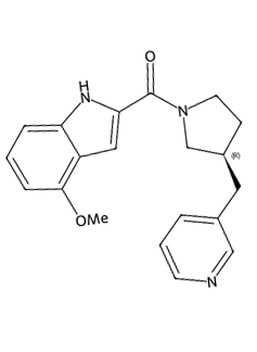 COc1cccc2[nH]c(C(=O)N3CC[C@@H](Cc4cccnc4)C3)cc12